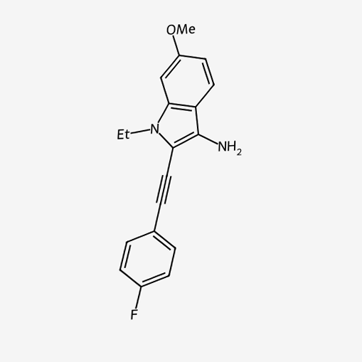 CCn1c(C#Cc2ccc(F)cc2)c(N)c2ccc(OC)cc21